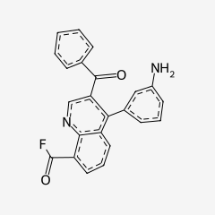 Nc1cccc(-c2c(C(=O)c3ccccc3)cnc3c(C(=O)F)cccc23)c1